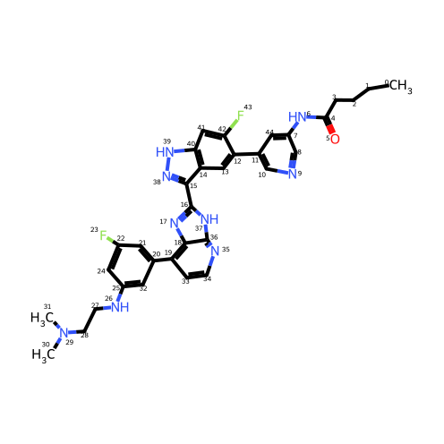 CCCCC(=O)Nc1cncc(-c2cc3c(-c4nc5c(-c6cc(F)cc(NCCN(C)C)c6)ccnc5[nH]4)n[nH]c3cc2F)c1